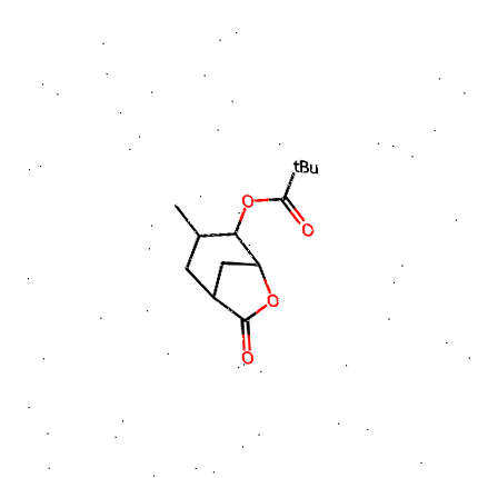 CC1CC2CC(OC2=O)C1OC(=O)C(C)(C)C